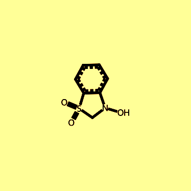 O=S1(=O)CN(O)c2ccccc21